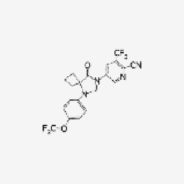 N#Cc1ncc(N2CN(c3ccc(OC(F)(F)F)cc3)C3(CCC3)C2=O)cc1C(F)(F)F